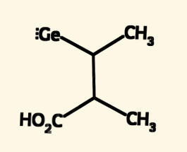 C[CH]([Ge])C(C)C(=O)O